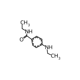 CCNC(=O)c1ccc(NCC)cc1